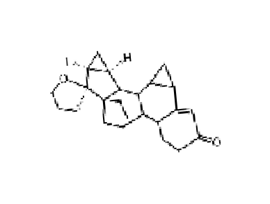 CC[C@]12CCC3C4CCC(=O)C=C4C4CC4C3C1[C@@H]1C[C@@H]1[C@@]21CCCO1